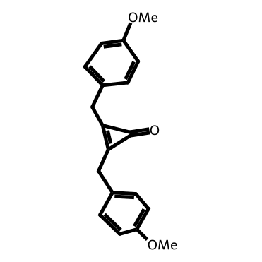 COc1ccc(Cc2c(Cc3ccc(OC)cc3)c2=O)cc1